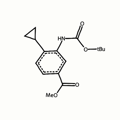 COC(=O)c1ccc(C2CC2)c(NC(=O)OC(C)(C)C)c1